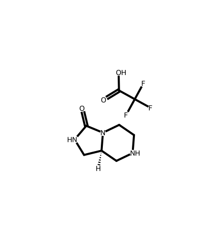 O=C(O)C(F)(F)F.O=C1NC[C@@H]2CNCCN12